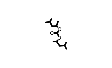 CC(C)CC(C)OC(=O)OC(C)CC(C)C